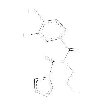 CCCN(C(=O)c1ccc(N)c(O)c1)C(=O)n1ccnc1